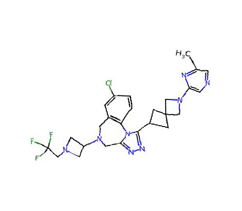 Cc1cncc(N2CC3(CC(c4nnc5n4-c4ccc(Cl)cc4CN(C4CN(CC(F)(F)F)C4)C5)C3)C2)n1